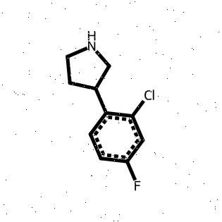 Fc1ccc(C2CCNC2)c(Cl)c1